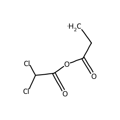 [CH2]CC(=O)OC(=O)C(Cl)Cl